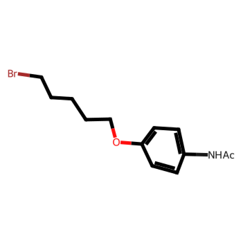 CC(=O)Nc1ccc(OCCCCCBr)cc1